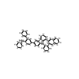 c1ccc(Nc2ccc(-c3ccc4c(c3)c3cccc5c3n4-c3ccccc3-c3cc4ccccc4cc3-5)cc2-c2ccccc2)cc1